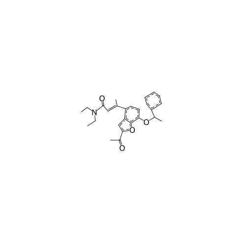 CCN(CC)C(=O)C=C(C)c1ccc(OC(C)c2ccccc2)c2oc(C(C)=O)cc12